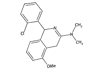 COc1cccc2c1CC(N(C)C)=NC2c1ccccc1Cl